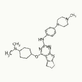 CN1CCN(c2ccc(Nc3nc(OC4CCC(N(C)C)CC4)c4c5c(sc4n3)CCC5)cc2)CC1